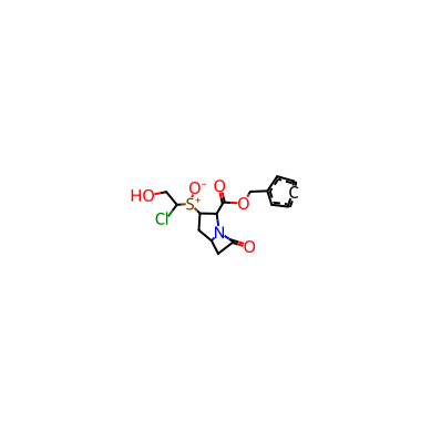 O=C(OCc1ccccc1)C1C([S+]([O-])C(Cl)CO)CC2CC(=O)N21